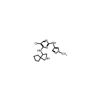 Cn1cc(Nc2ncc(Cl)c(NC3CNCC34CCCC4)n2)cn1